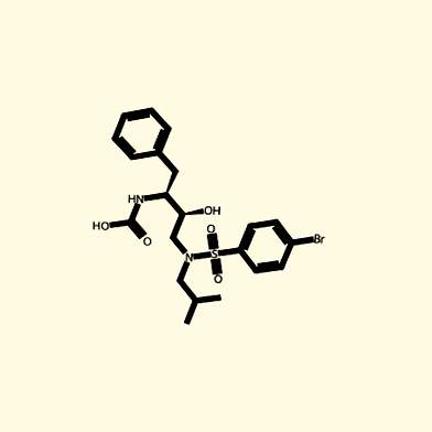 CC(C)CN(C[C@H](O)[C@H](Cc1ccccc1)NC(=O)O)S(=O)(=O)c1ccc(Br)cc1